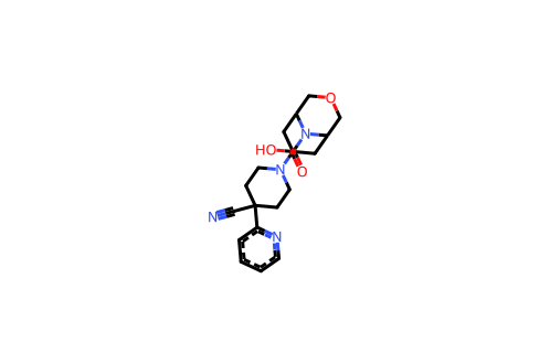 N#CC1(c2ccccn2)CCN(C2CC3COCC(C2)N3C(=O)O)CC1